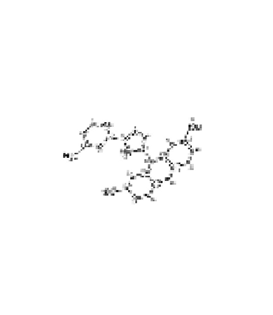 Cc1ccnc(-c2ccc(-c3c4cc(C(C)(C)C)ccc4cc4ccc(C(C)(C)C)cc34)[nH]2)c1